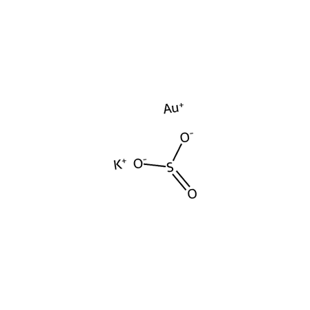 O=S([O-])[O-].[Au+].[K+]